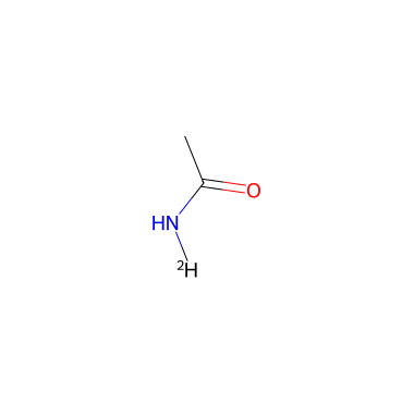 [2H]NC(C)=O